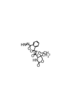 CCC[C@@H](C(=O)c1ccccc1C(=O)N=N)C(=O)C1NC(=O)OCC1(C)C